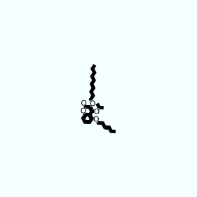 CC/C=C/CCOc1cccc2oc(=O)c(OCCCCCCCCCC)c(OC(C)C)c12